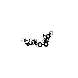 CC1CC(Cn2c(C=O)cnc2CN2CCC(c3cccc4c3OC(C)(c3ccc(Cl)cc3F)O4)CC2)C1